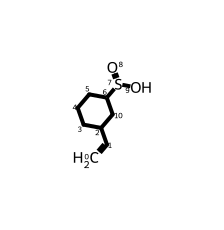 C=CC1CCCC(S(=O)O)C1